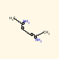 CCCCCCCCc1cc(N)ccc1Cc1ccc(CCCCCCCc2ccc(Cc3ccc(N)cc3CCCCCCCC)cc2)cc1